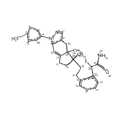 Cc1ccc(-n2ncc3c2C=C2CCC(O)(CCc4ccccc4C(F)C(N)=O)C2(C)C3)cc1